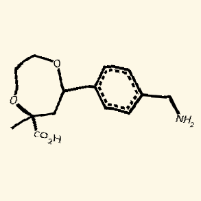 CC1(C(=O)O)CC(c2ccc(CN)cc2)OCCO1